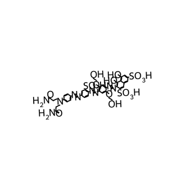 NC(=O)CCN(CCC(N)=O)c1ccc(/N=N/c2ccc(/N=N/c3cc(OCCO)c(/N=N/c4c(S(=O)(=O)O)cc5cc(S(=O)(=O)O)cc(O)c5c4O)cc3OCCO)c(S(=O)(=O)O)c2)cc1